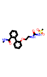 CNC(=O)c1ccccc1-c1ccccc1OCCNC(=O)NS(C)(=O)=O